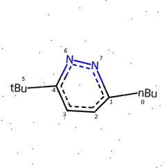 CCCCc1ccc(C(C)(C)C)nn1